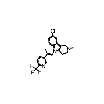 C/C(=C\n1c2c(c3cc(Cl)ccc31)CN(C)CC2)c1ccc(C(F)(F)F)nc1